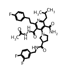 CC(=O)NNC(=O)c1c(CCc2ccc(F)cc2)nc(CC(C)C)c(C(N)=O)c1N1CCC(C(=O)NCc2ccc(F)c(F)c2)C1